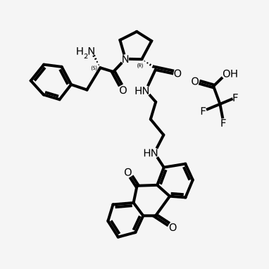 N[C@@H](Cc1ccccc1)C(=O)N1CCC[C@@H]1C(=O)NCCCNc1cccc2c1C(=O)c1ccccc1C2=O.O=C(O)C(F)(F)F